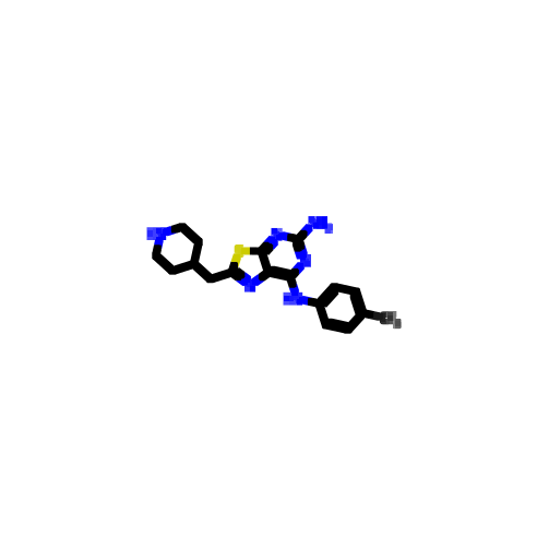 Nc1nc(Nc2ccc(C(F)(F)F)cc2)c2nc(CC3CCNCC3)sc2n1